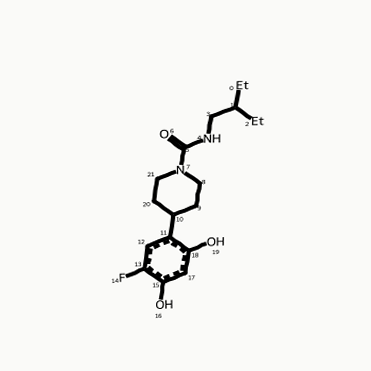 CCC(CC)CNC(=O)N1CCC(c2cc(F)c(O)cc2O)CC1